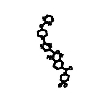 O=C(Nc1ccc(C(=O)N2CCS(=O)(=O)CC2)cc1Br)c1csc(N2CCC(Oc3ncccn3)CC2)n1